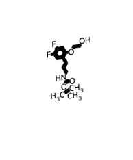 CC(C)(C)OC(=O)NC/C=C/c1cc(F)c(F)cc1OCCO